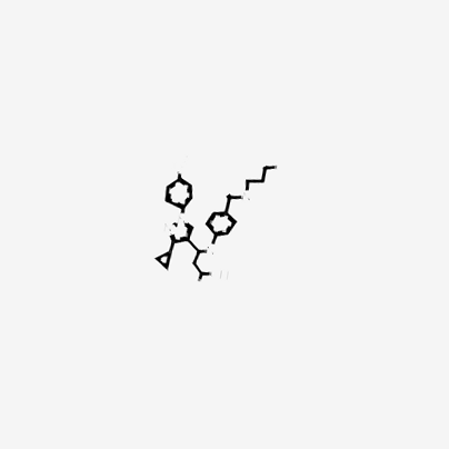 COc1ccc(-n2cc(C(CC(C)C)Nc3ccc(C(=O)NCCC(=O)O)cc3)c(C3CC3)n2)cc1